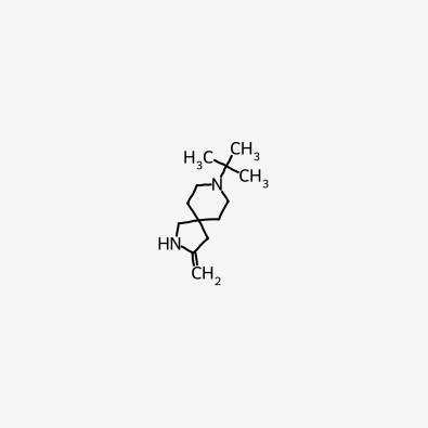 C=C1CC2(CCN(C(C)(C)C)CC2)CN1